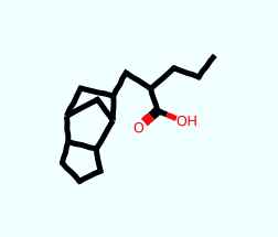 CCCC(CC1CC2CC1C1CCCC21)C(=O)O